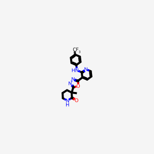 CC1(c2nnc(-c3cccnc3Nc3ccc(C(F)(F)F)cc3)o2)CCCNC1=O